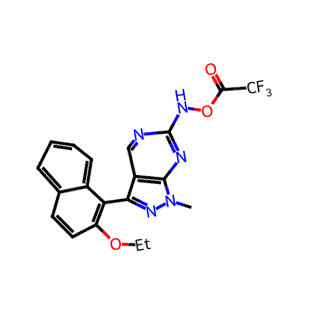 CCOc1ccc2ccccc2c1-c1nn(C)c2nc(NOC(=O)C(F)(F)F)ncc12